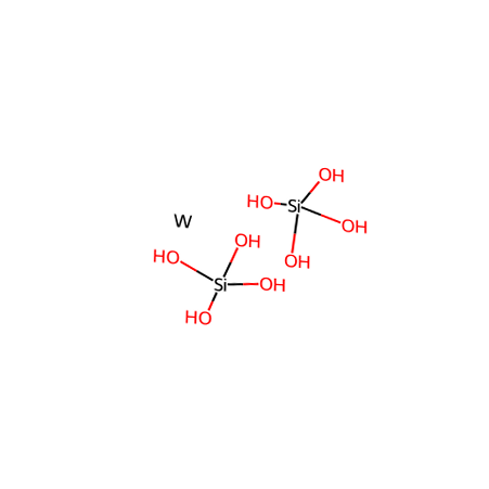 O[Si](O)(O)O.O[Si](O)(O)O.[W]